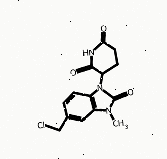 Cn1c(=O)n(C2CCC(=O)NC2=O)c2ccc(CCl)cc21